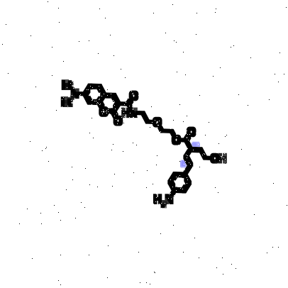 CCN(CC)c1ccc2cc(C(=O)NCCOCCOC(=O)C(/C=C/c3ccc(N)cc3)=C/CO)c(=O)oc2c1